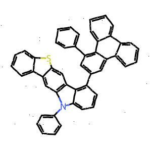 c1ccc(-c2cc(-c3cccc4c3c3cc5sc6ccccc6c5cc3n4-c3ccccc3)cc3c4ccccc4c4ccccc4c23)cc1